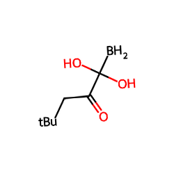 BC(O)(O)C(=O)CC(C)(C)C